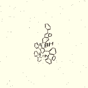 B1c2cc3oc(-c4ccccc4)cc3cc2-n2c3ccccc3c3c(-n4c5ccccc5c5ccccc54)cc(-c4cccc5c4Nc4ccccc4O5)c1c32